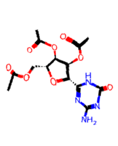 CC(=O)OC[C@H]1O[C@@H](c2nc(N)nc(=O)[nH]2)[C@H](OC(C)=O)[C@@H]1OC(C)=O